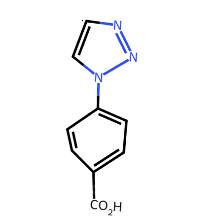 O=C(O)c1ccc(-n2c[c]nn2)cc1